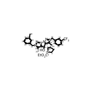 CCOC(=O)N1CCC[C@H]1C(O)(c1nnn(Cc2cccc(C)c2)c1I)c1nnn(Cc2cccc(C(F)(F)F)c2)c1I